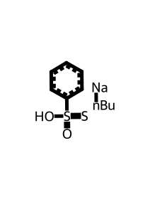 CCC[CH2][Na].O=S(O)(=S)c1ccccc1